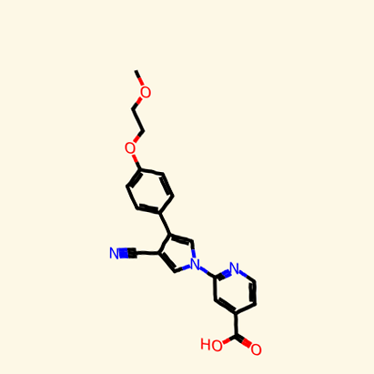 COCCOc1ccc(-c2cn(-c3cc(C(=O)O)ccn3)cc2C#N)cc1